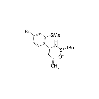 C=CC[C@H](N[S+]([O-])C(C)(C)C)c1ccc(Br)cc1SC